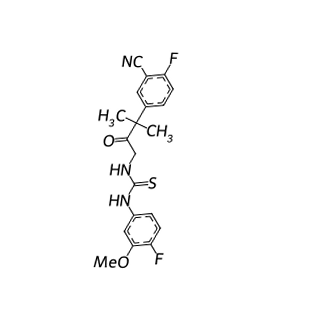 COc1cc(NC(=S)NCC(=O)C(C)(C)c2ccc(F)c(C#N)c2)ccc1F